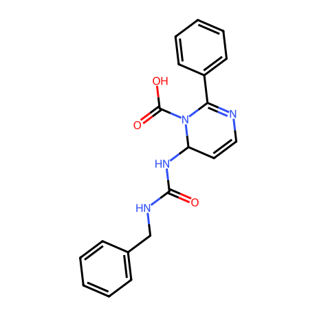 O=C(NCc1ccccc1)NC1C=CN=C(c2ccccc2)N1C(=O)O